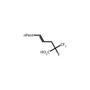 CCCCCC=CCC(F)(C(=O)O)C(F)(F)F